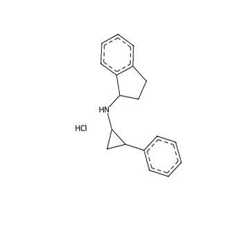 Cl.c1ccc(C2CC2NC2CCc3ccccc32)cc1